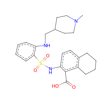 CN1CCC(CNc2ccccc2S(=O)(=O)Nc2ccc3c(c2C(=O)O)CCCC3)CC1